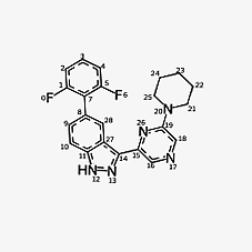 Fc1cccc(F)c1-c1ccc2[nH]nc(-c3cncc(N4CCCCC4)n3)c2c1